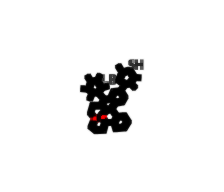 Bc1c(C)c(S)c(C)c(C)c1-c1ccc2c(-c3ccccc3-c3ccccc3)c3c(c(-c4c(C)c(C)c(C)c(C)c4C)c2c1)=CCCC=3